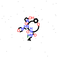 O=C(NCC1(F)CC1)[C@@H]1CCCCOc2cccc(c2)C[C@H](N2CCCC2O)C(=O)N[C@@H](CCN2CCOCC2)C(=O)N1